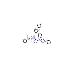 N/C(=N\C(N)c1cccc(-n2c3ccc(-c4ccccc4)cc3c3ccc(-c4cccc5c4sc4ccccc45)cc32)c1)c1ccccc1